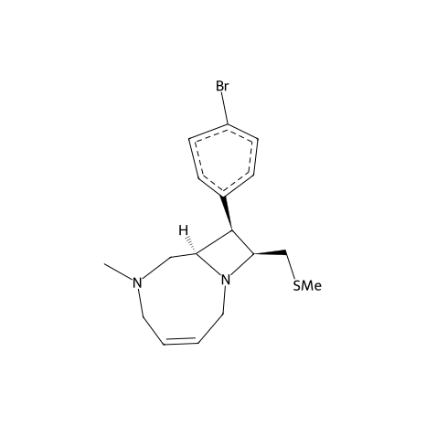 CSC[C@@H]1[C@H](c2ccc(Br)cc2)[C@@H]2CN(C)C/C=C\CN12